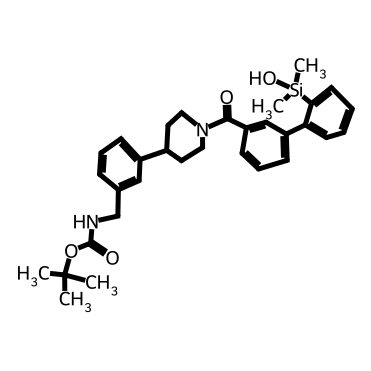 CC(C)(C)OC(=O)NCc1cccc(C2CCN(C(=O)c3cccc(-c4ccccc4[Si](C)(C)O)c3)CC2)c1